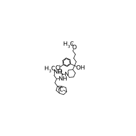 CNCC(CC12CC3CC(CC1C3)C2)NC(=O)N1CCCC(C(O)(CCCCOC)c2cccc(Cl)c2)C1